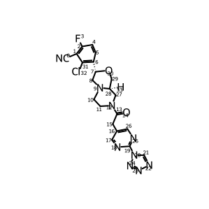 N#Cc1c(F)ccc([C@H]2CN3CCN(C(=O)Cc4cnc(-n5cnnn5)nc4)C[C@@H]3CO2)c1Cl